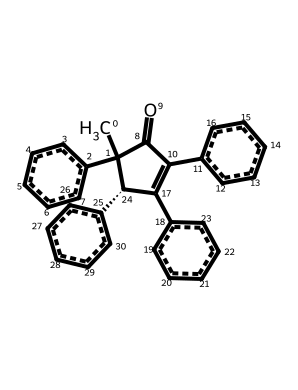 CC1(c2ccccc2)C(=O)C(c2ccccc2)=C(c2ccccc2)[C@@H]1c1ccccc1